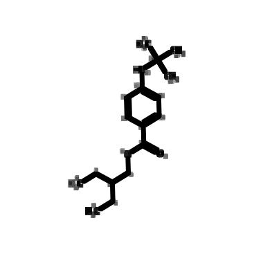 CCC(CC)COC(=O)c1ccc(NC(C)(C)C)cc1